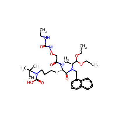 CCNC(=O)NOCC(=O)N[C@@H](CCCCN(C(=O)O)C(C)(C)C)C(=O)N(Cc1cccc2ccccc12)[C@@H](C)C(OCC)OCC